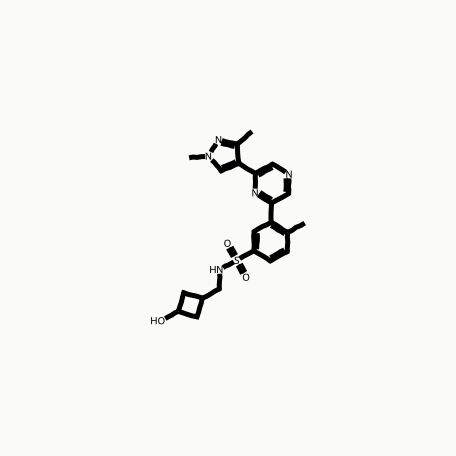 Cc1ccc(S(=O)(=O)NCC2CC(O)C2)cc1-c1cncc(-c2cn(C)nc2C)n1